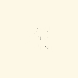 C[C@H]1C=C(OC(=O)O)N2C(=O)[C@H](N)[C@@H]2C1